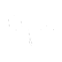 CC1CCC(=C(C#N)SCCC(F)(F)F)CC1